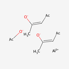 CC(=O)/C=C(/C)[O-].CC(=O)/C=C(/C)[O-].CC(=O)[O-].[Al+3]